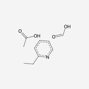 CC(=O)O.CCc1ccccn1.O=CO